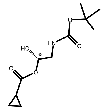 CC(C)(C)OC(=O)NC[C@@H](O)OC(=O)C1CC1